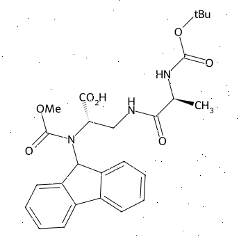 COC(=O)N(C1c2ccccc2-c2ccccc21)[C@@H](CNC(=O)[C@H](C)NC(=O)OC(C)(C)C)C(=O)O